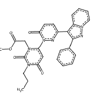 CCCn1c(=O)cc(-n2nc(-c3c(-c4ccccc4)nn4ccccc34)ccc2=O)n(CC(=O)OC)c1=O